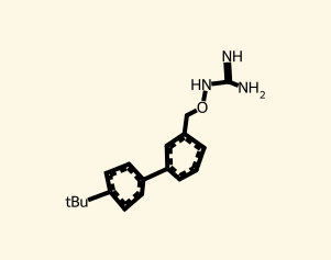 CC(C)(C)c1ccc(-c2cccc(CONC(=N)N)c2)cc1